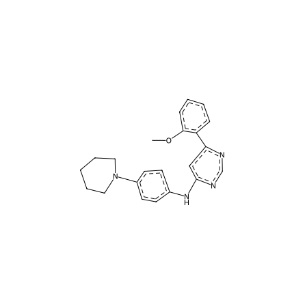 COc1ccccc1-c1cc(Nc2ccc(N3CCCCC3)cc2)ncn1